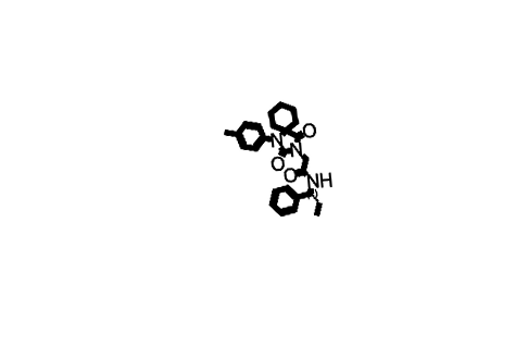 CC[C@@H](NC(=O)CN1C(=O)N(c2ccc(C)cc2)C2(CCCCC2)C1=O)c1ccccc1